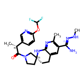 CN/N=C(\N)c1cc2c(nc1C)N[C@@]1(CC2)CCN(C(=O)[C@H](C)c2ccc(OC(F)F)nc2)C1